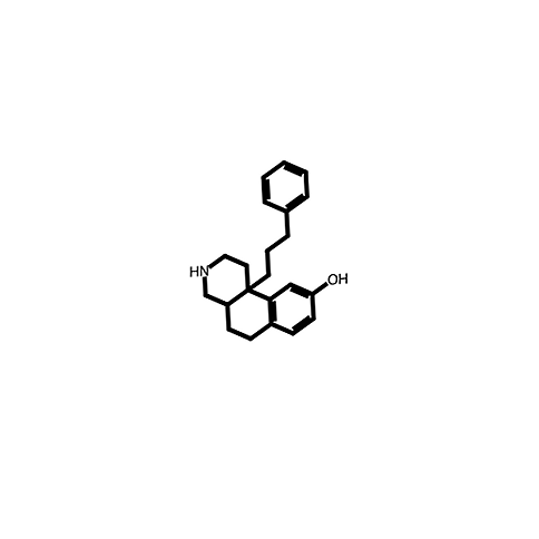 Oc1ccc2c(c1)C1(CCCc3ccccc3)CCNCC1CC2